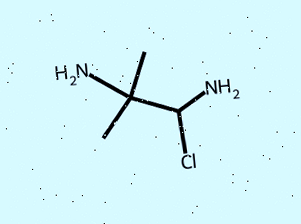 CC(C)(N)C(N)Cl